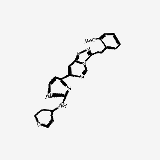 COc1ccccc1Cc1nnc2cc(-c3ccnc(NC4CCOCC4)n3)ncn12